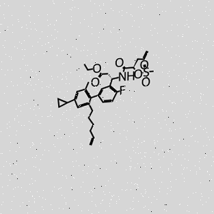 C=CCCCCc1cc(C2CC2)cc(C)c1-c1ccc(F)c([C@H](CC(=O)OCC)NC(=O)[C@@H](CC=C)OS(C)(=O)=O)c1